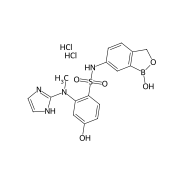 CN(c1ncc[nH]1)c1cc(O)ccc1S(=O)(=O)Nc1ccc2c(c1)B(O)OC2.Cl.Cl